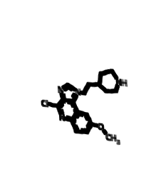 COc1ccc2nc(Cl)c3ncn(CCC4CCNCC4)c3c2c1